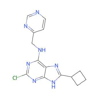 Clc1nc(NCc2ccncn2)c2nc(C3CCC3)[nH]c2n1